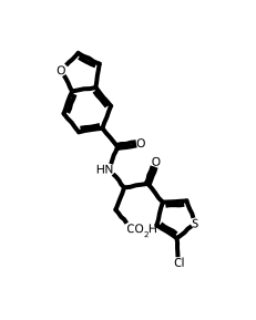 O=C(O)CC(NC(=O)c1ccc2occc2c1)C(=O)c1csc(Cl)c1